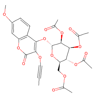 CC#COc1c(O[C@H]2O[C@H](COC(C)=O)[C@@H](OC(C)=O)[C@H](OC(C)=O)[C@@H]2OC(C)=O)c2ccc(OC)cc2oc1=O